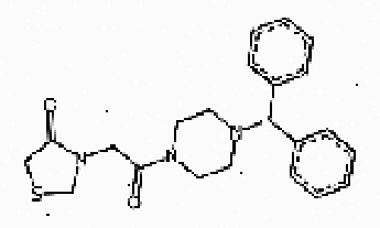 O=C(CN1CSCC1=O)N1CCN(C(c2ccccc2)c2ccccc2)CC1